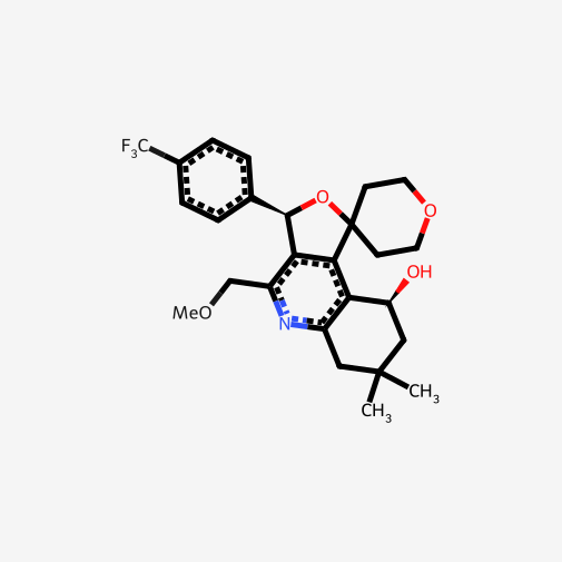 COCc1nc2c(c3c1[C@@H](c1ccc(C(F)(F)F)cc1)OC31CCOCC1)[C@@H](O)CC(C)(C)C2